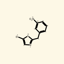 CCc1cnc(Cc2cccc([N+](=O)[O-])c2)s1